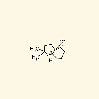 CC1(C)CCC2=[N+]([O-])CCC[C@H]2C1